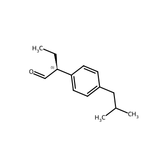 CC[C@H](C=O)c1ccc(CC(C)C)cc1